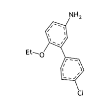 CCOc1ccc(N)cc1-c1ccc(Cl)cc1